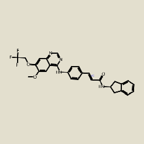 COc1cc2c(Nc3ccc(/C=C/C(=O)NC4Cc5ccccc5C4)cc3)ncnc2cc1OCC(F)(F)F